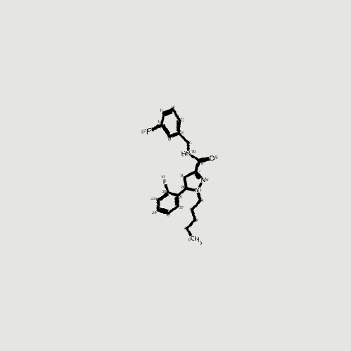 CCCCCN1N=C(C(=O)NCc2cccc(F)c2)CC1c1ccccc1F